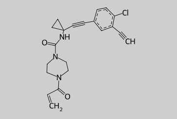 C#Cc1cc(C#CC2(NC(=O)N3CCN(C(=O)C=C)CC3)CC2)ccc1Cl